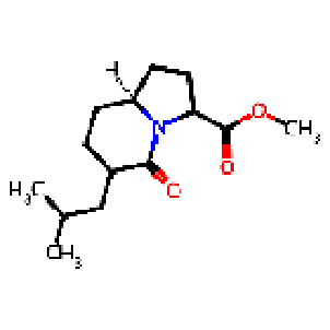 COC(=O)C1CC[C@@H]2CCC(CC(C)C)C(=O)N12